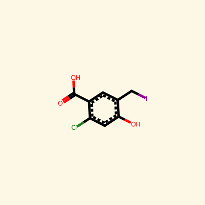 O=C(O)c1cc(CI)c(O)cc1Cl